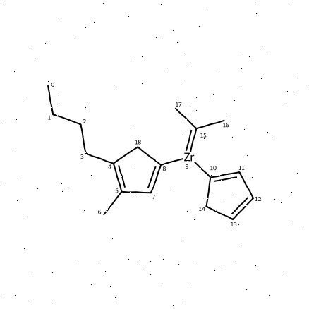 CCCCC1=C(C)C=[C]([Zr]([C]2=CC=CC2)=[C](C)C)C1